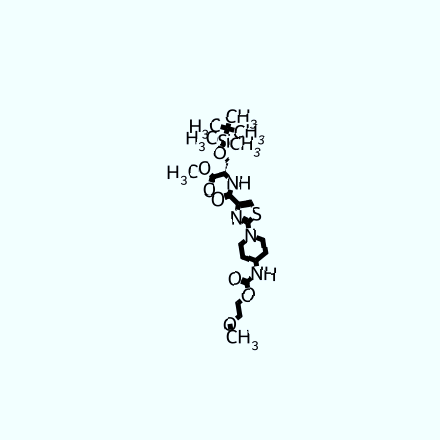 COCCOC(=O)NC1CCN(c2nc(C(=O)N[C@@H](CO[Si](C)(C)C(C)(C)C)C(=O)OC)cs2)CC1